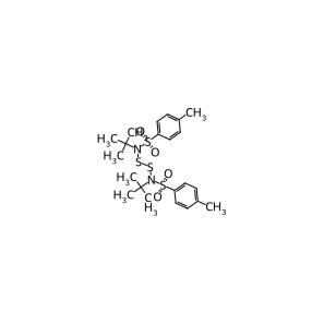 Cc1ccc(S(=O)(=O)N(SSN(C(C)(C)C)S(=O)(=O)c2ccc(C)cc2)C(C)(C)C)cc1